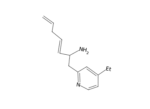 C=CCC=CC(N)Cc1cc(CC)ccn1